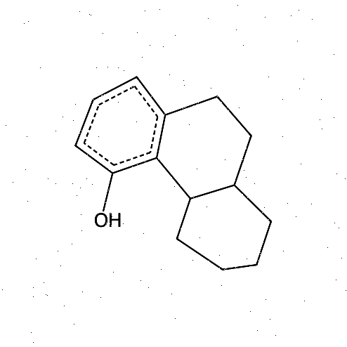 Oc1cccc2c1C1CCCCC1CC2